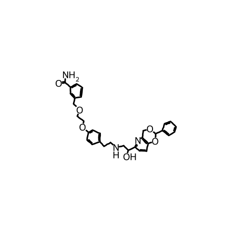 NC(=O)c1cccc(COCCOc2ccc(CCNCC(O)c3ccc4c(n3)COC(c3ccccc3)O4)cc2)c1